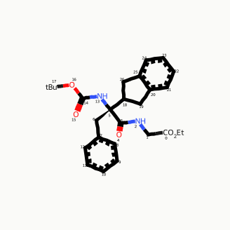 CCOC(=O)CNC(=O)[C@](Cc1ccccc1)(NC(=O)OC(C)(C)C)C1Cc2ccccc2C1